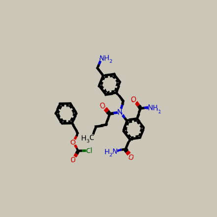 CCCC(=O)N(Cc1ccc(CN)cc1)c1cc(C(N)=O)ccc1C(N)=O.O=C(Cl)OCc1ccccc1